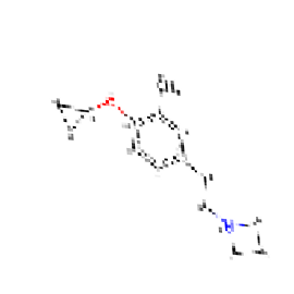 Cc1cc(CCN2CCC2)ccc1OC1CC1